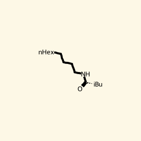 CCCCCCCCCCNC(=O)[C@@H](C)CC